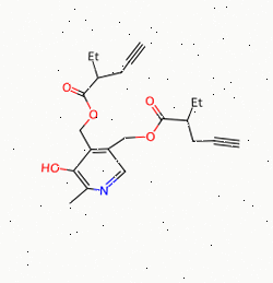 C#CCC(CC)C(=O)OCc1cnc(C)c(O)c1COC(=O)C(CC)CC#C